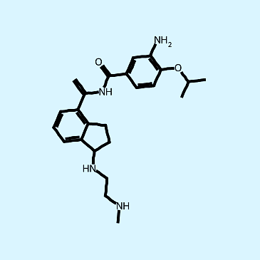 C=C(NC(=O)c1ccc(OC(C)C)c(N)c1)c1cccc2c1CCC2NCCNC